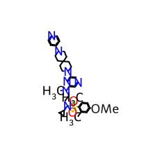 COc1cc(C)c(S(=O)(=O)N(CCN(C)c2cncc(N3CCC4(CCN(c5ccncc5)CC4)CC3)n2)C2CC2)c(C)c1